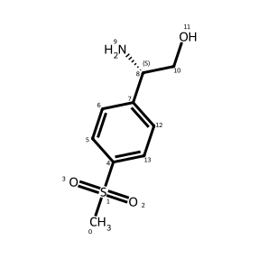 CS(=O)(=O)c1ccc([C@H](N)CO)cc1